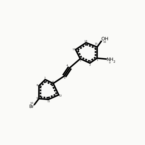 Nc1cc(C#Cc2ccc(Br)cc2)ccc1O